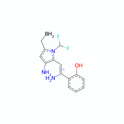 BCc1cc(N)c(/C=C(\N)c2ccccc2O)n1C(F)F